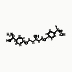 C/C(=N/O)c1ccc(OCCC(O)CCOc2ccc(C(=N)N)cc2)cc1